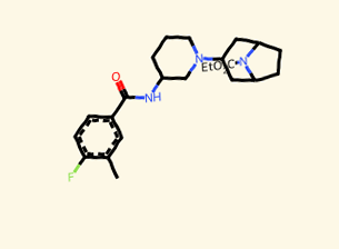 CCOC(=O)N1C2CCC1CC(N1CCCC(NC(=O)c3ccc(F)c(C)c3)C1)C2